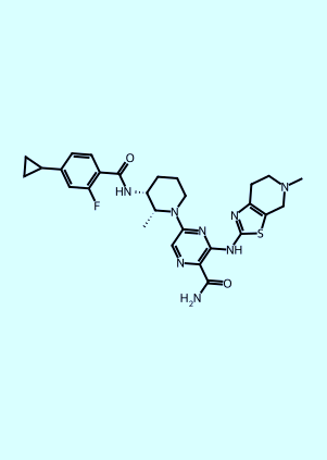 C[C@@H]1[C@H](NC(=O)c2ccc(C3CC3)cc2F)CCCN1c1cnc(C(N)=O)c(Nc2nc3c(s2)CN(C)CC3)n1